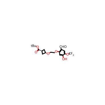 CC(C)(C)OC(=O)[C@H]1C[C@@H](OCCOc2cc(O)c(OC(F)(F)F)cc2C=O)C1